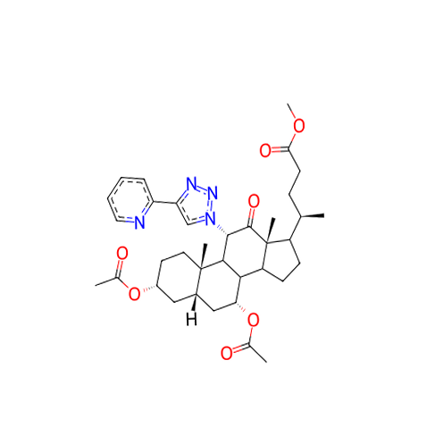 COC(=O)CC[C@@H](C)C1CCC2C3C([C@H](n4cc(-c5ccccn5)nn4)C(=O)[C@@]21C)[C@@]1(C)CC[C@@H](OC(C)=O)C[C@H]1C[C@H]3OC(C)=O